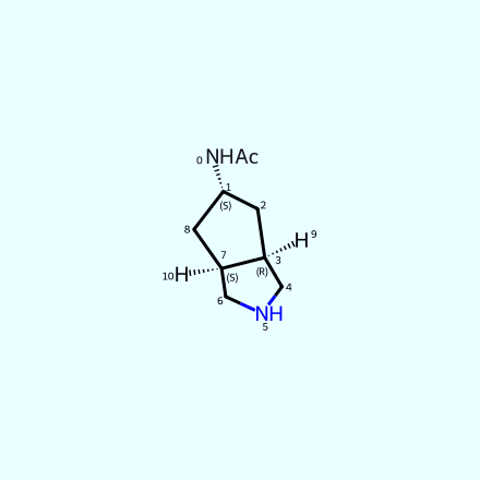 CC(=O)N[C@@H]1C[C@H]2CNC[C@H]2C1